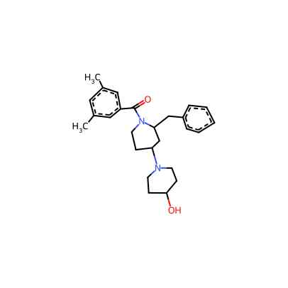 Cc1cc(C)cc(C(=O)N2CCC(N3CCC(O)CC3)CC2Cc2ccccc2)c1